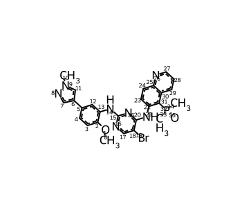 COc1ccc(-c2cnn(C)c2)cc1Nc1ncc(Br)c(Nc2ccc3ncccc3c2P(C)(C)=O)n1